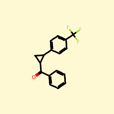 O=C(c1ccccc1)C1CC1c1ccc(C(F)(F)F)cc1